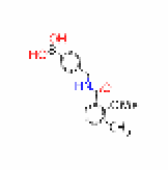 COc1c(C)cccc1C(=O)NCc1ccc(B(O)O)cc1